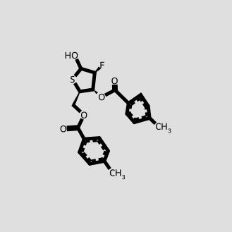 Cc1ccc(C(=O)OC[C@H]2SC(O)[C@@H](F)[C@@H]2OC(=O)c2ccc(C)cc2)cc1